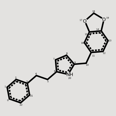 c1ccc(CCc2ccc(Cc3ccc4c(c3)OCO4)[nH]2)cc1